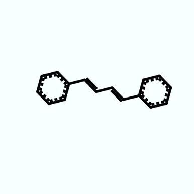 [C](=Cc1ccccc1)C=Cc1ccccc1